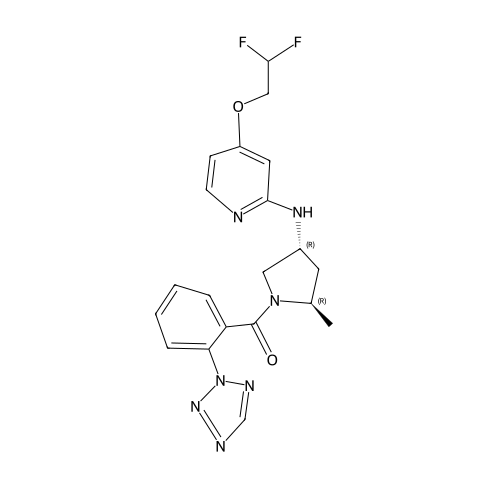 C[C@@H]1C[C@@H](Nc2cc(OCC(F)F)ccn2)CN1C(=O)c1ccccc1-n1ncnn1